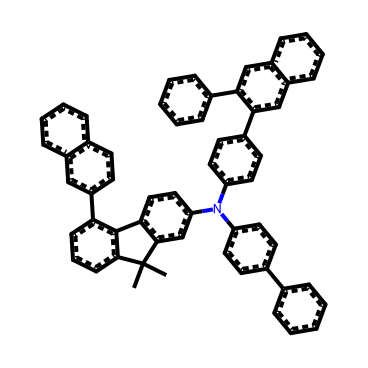 CC1(C)c2cc(N(c3ccc(-c4ccccc4)cc3)c3ccc(-c4cc5ccccc5cc4-c4ccccc4)cc3)ccc2-c2c(-c3ccc4ccccc4c3)cccc21